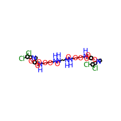 O=C(NCCCCNC(=O)NCCOCCOCCNS(=O)(=O)c1ccc(O[C@H]2c3cc(Cl)cc(Cl)c3C[C@@H]2N2CCCC2)cc1)NCCOCCOCCNS(=O)(=O)c1ccc(O[C@H]2c3cc(Cl)cc(Cl)c3CC2N2CCCC2)cc1